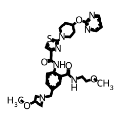 COCCNC(=O)c1cc(CN2CC(OC)C2)ccc1NC(=O)c1csc(N2CCC(Oc3ncccn3)CC2)n1